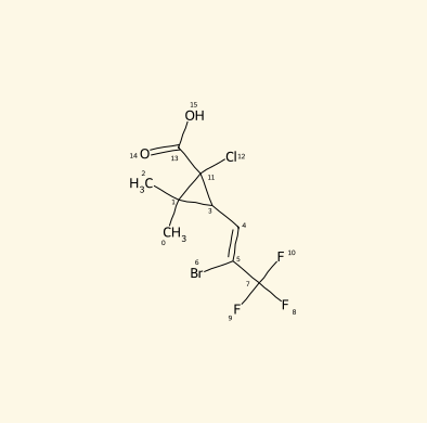 CC1(C)C(C=C(Br)C(F)(F)F)C1(Cl)C(=O)O